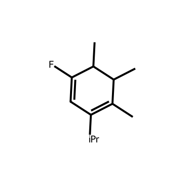 CC1=C(C(C)C)C=C(F)C(C)C1C